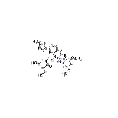 COc1cc(/N=c2\ccc3ncc(-c4cnn(C)c4)nc3n2CCN(CCO)C(=O)CCS)c(F)c(OC)c1